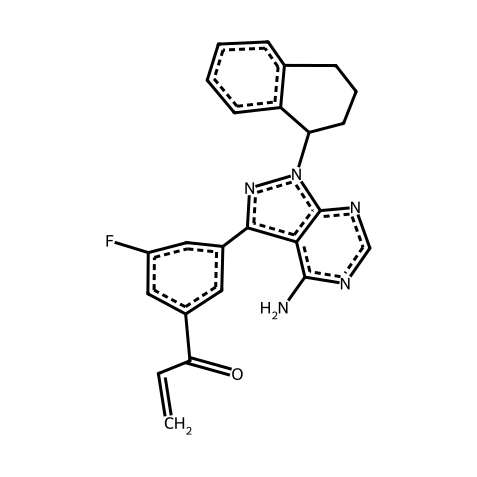 C=CC(=O)c1cc(F)cc(-c2nn(C3CCCc4ccccc43)c3ncnc(N)c23)c1